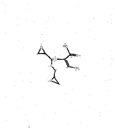 C(OCC1CO1)C1CO1.CC=C(C)C(=O)O